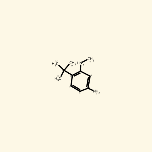 CNc1cc(N)ccc1C(C)(C)C